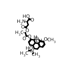 CCN(C)[C@@H]1Cc2ccc(OC)c3c2[C@@]2(C)[C@@H](O3)C(OC(=O)[C@H](C)OC(=O)C[C@H](N)C(=O)O)=CC[C@@]12O